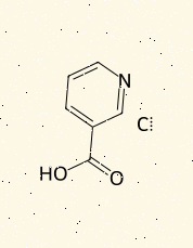 O=C(O)c1cccnc1.[C]